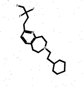 FCC(F)(F)CCc1ccc2c(n1)CCN(CCC1CCCCC1)CC2